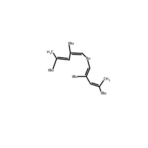 CC(=CC(=[CH][Ru][CH]=C(C=C(C)C(C)(C)C)C(C)(C)C)C(C)(C)C)C(C)(C)C